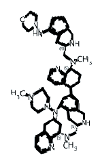 CN1CCN(Nc2cc(C3CC[C@H](N(C)C[C@H]4Cc5c(cccc5NN5CCOCC5)CN4)c4ncccc43)cc3c2C[C@@H](CN(C)[C@H]2CCCc4cccnc42)NC3)CC1